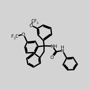 O=C(Nc1ccccc1)NC(Cc1ccccc1)(c1cccc(OC(F)(F)F)c1)c1cccc(OC(F)(F)F)c1